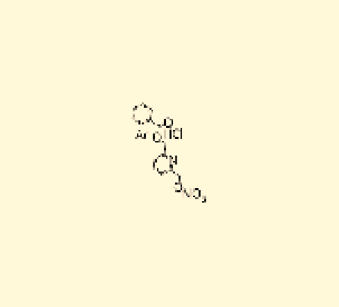 CC(=O)c1ccccc1C(=O)OCc1cccc(CO[N+](=O)[O-])n1.Cl